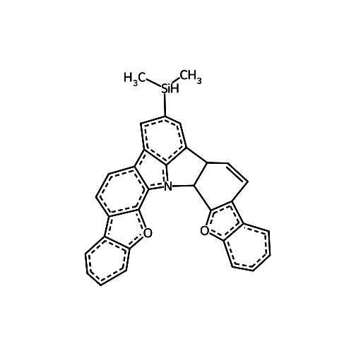 C[SiH](C)c1cc2c3c(c1)c1ccc4c5ccccc5oc4c1n3C1c3oc4ccccc4c3C=CC21